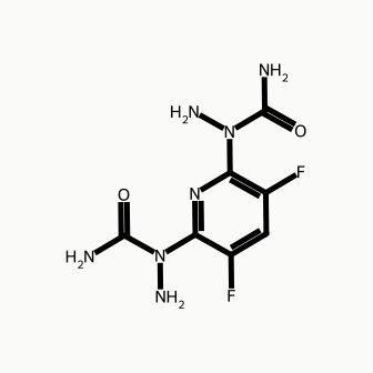 NC(=O)N(N)c1nc(N(N)C(N)=O)c(F)cc1F